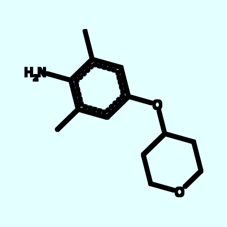 Cc1cc(OC2CCOCC2)cc(C)c1N